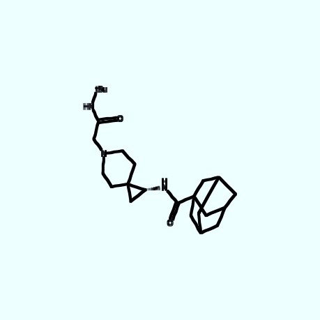 CC(C)(C)NC(=O)CN1CCC2(CC1)C[C@H]2NC(=O)C12CC3CC(CC(C3)C1)C2